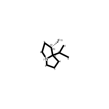 CC(C)C12CCCN1CC[C@@H]2F